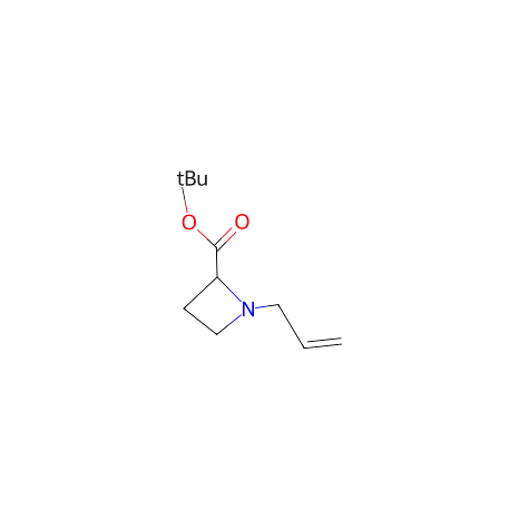 C=CCN1CCC1C(=O)OC(C)(C)C